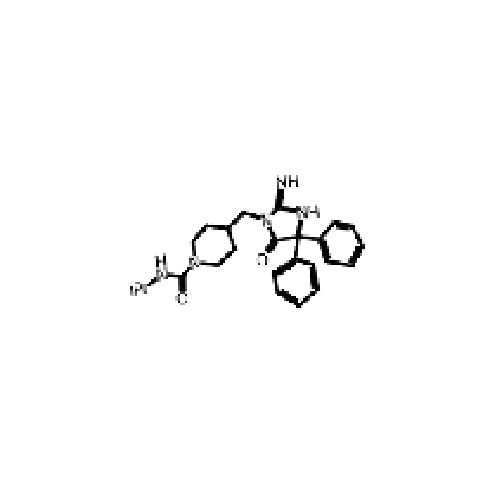 CC(C)NC(=O)N1CCC(CN2C(=N)NC(c3ccccc3)(c3ccccc3)C2=O)CC1